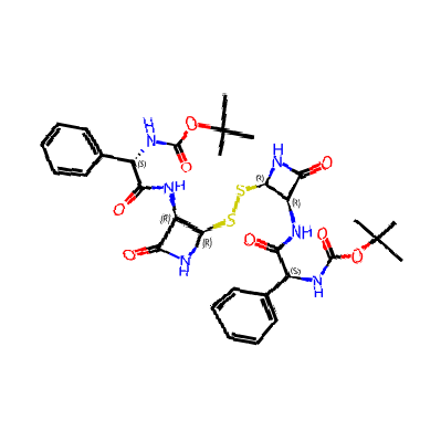 CC(C)(C)OC(=O)N[C@H](C(=O)N[C@@H]1C(=O)N[C@@H]1SS[C@H]1NC(=O)[C@H]1NC(=O)[C@@H](NC(=O)OC(C)(C)C)c1ccccc1)c1ccccc1